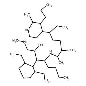 CCCCC(NC(C)C(C)CCC(CC)C1CCNC(C)C1CCC)C(C(O)CPC)C1C(CC)CCCC1CC